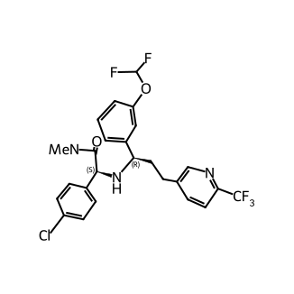 CNC(=O)[C@@H](N[C@H](CCc1ccc(C(F)(F)F)nc1)c1cccc(OC(F)F)c1)c1ccc(Cl)cc1